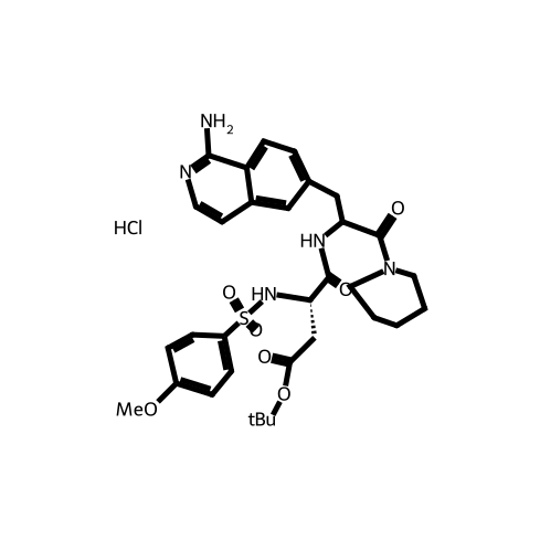 COc1ccc(S(=O)(=O)N[C@@H](CC(=O)OC(C)(C)C)C(=O)NC(Cc2ccc3c(N)nccc3c2)C(=O)N2CCCCC2)cc1.Cl